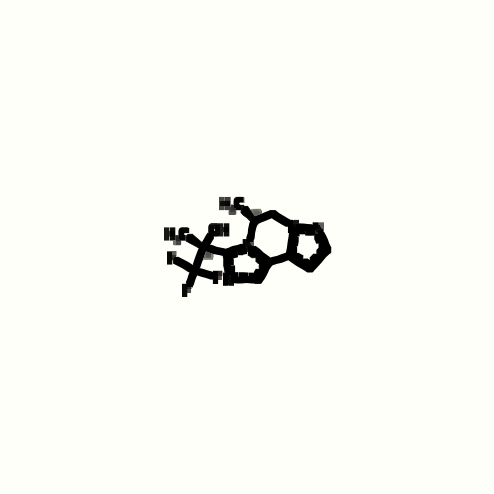 C[C@H]1Cn2nccc2-c2cnc([C@@](C)(O)C(F)(F)F)n21